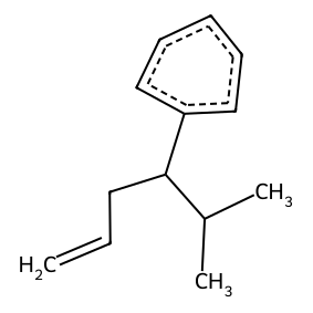 C=CCC(c1ccccc1)C(C)C